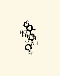 CCN1CCC[C@@H](Nc2nnc(-c3c(C)cc4c(c3O)CCO4)n(CC)c2=O)C1